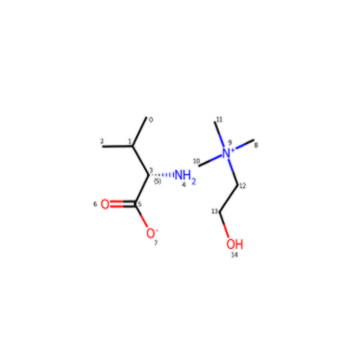 CC(C)[C@H](N)C(=O)[O-].C[N+](C)(C)CCO